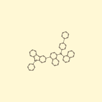 c1ccc(-c2ccc(N(c3cccc4ccccc34)c3ccc(-c4ccc5c(c4)c4ccccc4n5-c4ccccc4)c4ccccc34)cc2)cc1